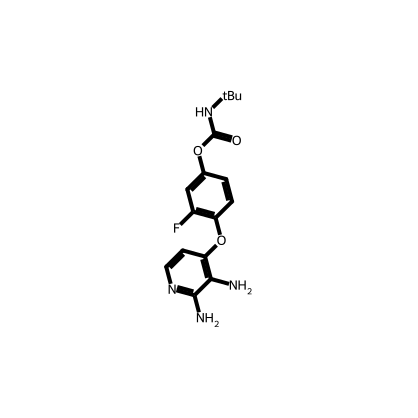 CC(C)(C)NC(=O)Oc1ccc(Oc2ccnc(N)c2N)c(F)c1